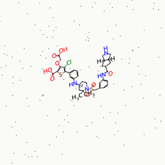 CC1(C)C[C@@H](Nc2cccc(-c3sc(C(=O)O)c(OCC(=O)O)c3Cl)c2)CCN1S(=O)(=O)Cc1cccc(NC(=O)C2C[C@H]3CNC[C@H]3C2)c1